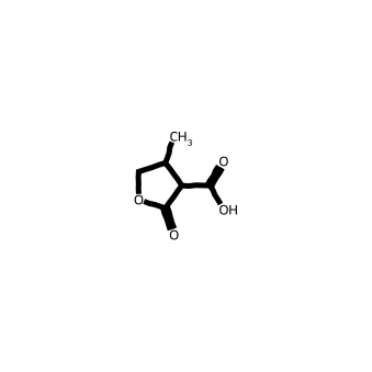 CC1COC(=O)C1C(=O)O